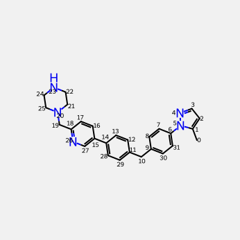 Cc1ccnn1-c1ccc(Cc2ccc(-c3ccc(CN4CCNCC4)nc3)cc2)cc1